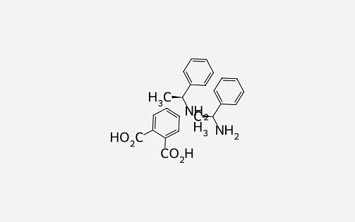 C[C@H](N)c1ccccc1.C[C@H](N)c1ccccc1.O=C(O)c1ccccc1C(=O)O